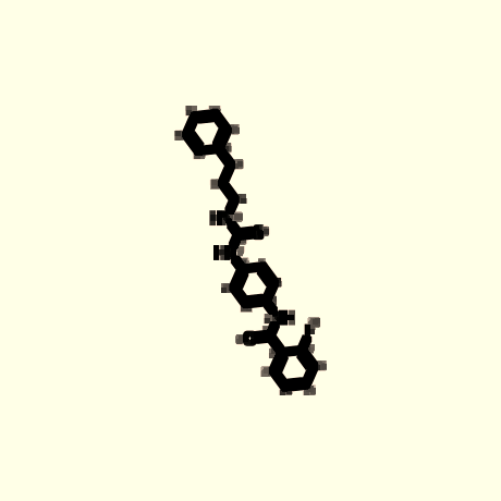 O=C(Nc1ccc(NC(=S)NCCCc2ccccc2)cc1)c1ccccc1F